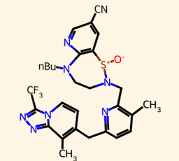 CCCCN1CCN(Cc2nc(Cc3ccn4c(C(F)(F)F)nnc4c3C)ccc2C)[S+]([O-])c2cc(C#N)cnc21